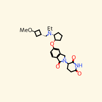 CCN(C[C@H]1C[C@H](OC)C1)[C@@H]1CCC[C@H]1Oc1ccc2c(c1)CN(C1CCC(=O)NC1=O)C2=O